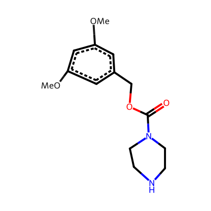 COc1cc(COC(=O)N2CCNCC2)cc(OC)c1